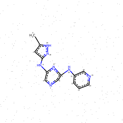 Cc1cc(Nc2cncc(Nc3cccnc3)n2)n[nH]1